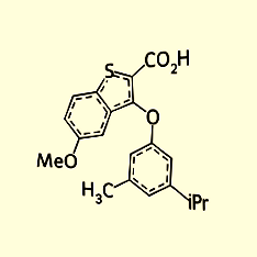 COc1ccc2sc(C(=O)O)c(Oc3cc(C)cc(C(C)C)c3)c2c1